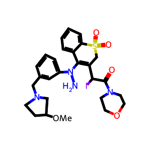 COC1CCN(Cc2cccc(N(N)C3=C(C(I)C(=O)N4CCOCC4)CS(=O)(=O)c4ccccc43)c2)C1